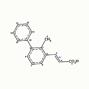 Cc1c(/C=C/C(=O)O)cccc1-c1ccccc1